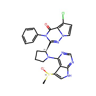 C[S@@+]([O-])c1c[nH]c2ncnc(N3CCC[C@H]3c3nn4ccc(Cl)c4c(=O)n3-c3ccccc3)c12